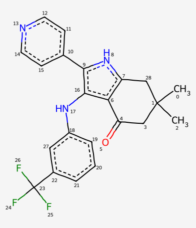 CC1(C)CC(=O)c2c([nH]c(-c3ccncc3)c2Nc2cccc(C(F)(F)F)c2)C1